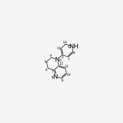 C1=CC(N2CCCc3ncccc32)=CCN1